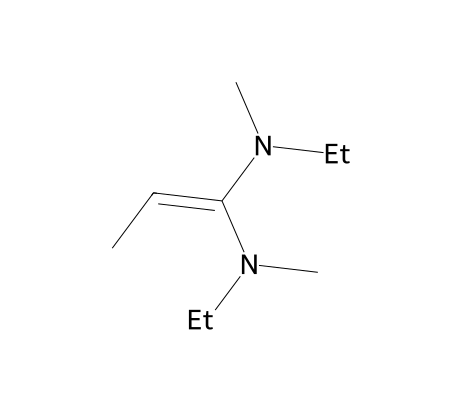 CC=C(N(C)CC)N(C)CC